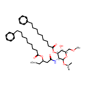 CCCCCCCCCCCC(CC(=O)N[C@H]1C(O[SiH](C)C)O[C@H](COC(C)(C)C)[C@@H](O)[C@@H]1OC(=O)CCCCCCCCc1ccccc1)OC(=O)CCCCCCCCc1ccccc1